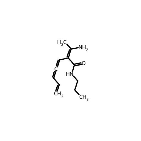 C=CC=C=C/C(C(=O)NCCC)=C(\C)N